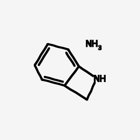 N.c1ccc2c(c1)CN2